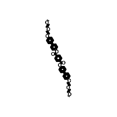 COCCOCCOc1ccc(-c2ccc(OC(=O)[C@H]3CC[C@H](C(=O)Oc4ccc(-c5ccc(OCCOCCOC)cc5)cc4)CC3)cc2)cc1